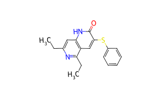 CCc1cc2[nH]c(=O)c(Sc3ccccc3)cc2c(CC)n1